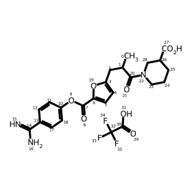 CC(Cc1ccc(C(=O)Oc2ccc(C(=N)N)cc2)o1)C(=O)N1CCCC(C(=O)O)C1.O=C(O)C(F)(F)F